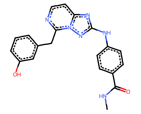 CNC(=O)c1ccc(Nc2nc3ccnc(Cc4cccc(O)c4)n3n2)cc1